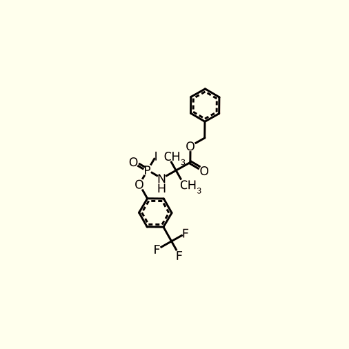 CC(C)(NP(=O)(I)Oc1ccc(C(F)(F)F)cc1)C(=O)OCc1ccccc1